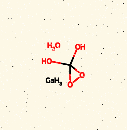 O.OC1(O)OO1.[GaH3]